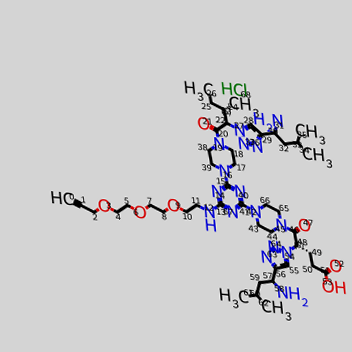 C#CCOCCOCCOCCNc1nc(N2CCN(C(=O)C([C@@H](C)CC)n3cc(C(N)CC(C)C)nn3)CC2)nc(N2CCN(C(=O)[C@H](CCC(=O)O)n3cc(C(N)CC(C)C)nn3)CC2)n1.Cl